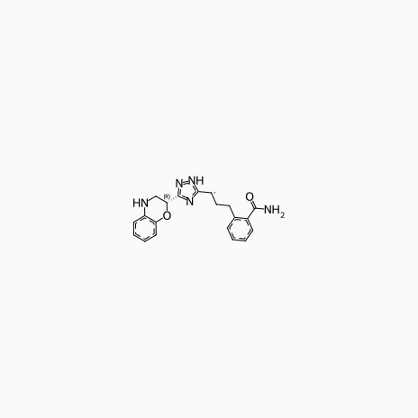 NC(=O)c1ccccc1CC[CH]c1nc([C@H]2CNc3ccccc3O2)n[nH]1